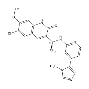 CC(C)Oc1cc2[nH]c(=O)c([C@H](C)Nc3cc(-c4cncn4C)ccn3)cc2cc1Cl